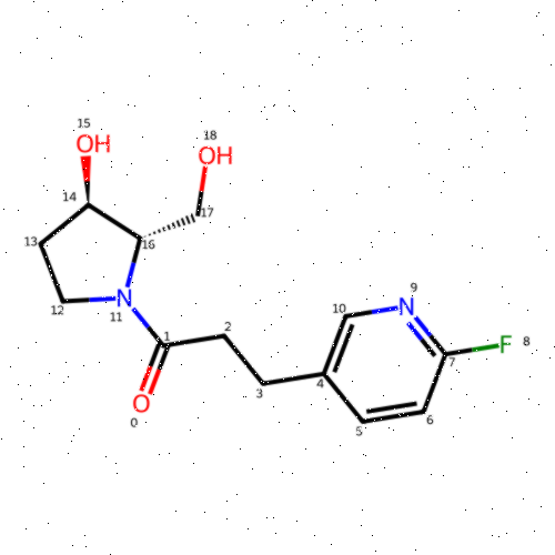 O=C(CCc1ccc(F)nc1)N1CC[C@@H](O)[C@@H]1CO